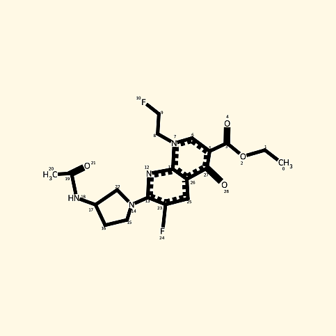 CCOC(=O)c1cn(CCF)c2nc(N3CCC(NC(C)=O)C3)c(F)cc2c1=O